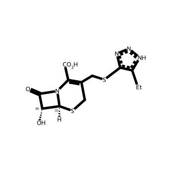 CCc1[nH]nnc1SCC1=C(C(=O)O)N2C(=O)[C@@H](O)[C@@H]2SC1